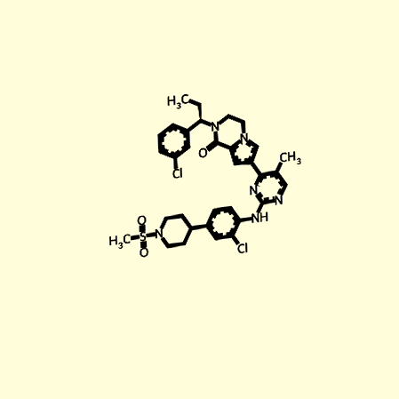 CC[C@H](c1cccc(Cl)c1)N1CCn2cc(-c3nc(Nc4ccc(C5CCN(S(C)(=O)=O)CC5)cc4Cl)ncc3C)cc2C1=O